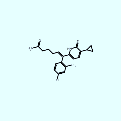 NC(=O)CCC/C=C(/c1ccc(C2CC2)c(=O)[nH]1)c1ccc(Cl)cc1C(F)(F)F